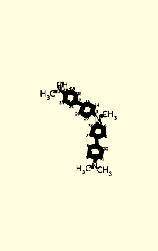 CN(C)c1ccc(-c2ccc(N(C)c3ccc(-c4ccc(N(C)C)cc4)cc3)cc2)cc1